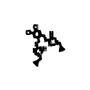 Clc1cc(CSC2=NCN(CC3CC3)CN2)c(CSC2=NCN(CC3CC3)CN2)cc1Cl